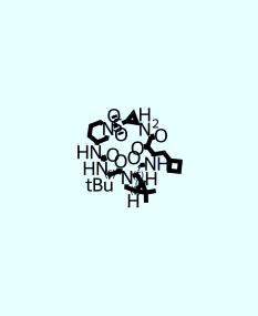 CC(C)(C)[C@H](NC(=O)NC1CCCN(S(=O)(=O)C2CC2)C1)C(=O)N1C[C@H]2[C@@H]([C@H]1C(=O)NC(CC1CCC1)C(=O)C(N)=O)C2(C)C